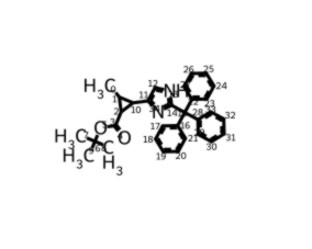 CC1C(C(=O)OC(C)(C)C)C1c1c[nH]c(C(c2ccccc2)(c2ccccc2)c2ccccc2)n1